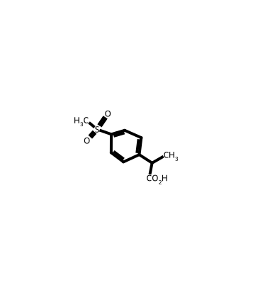 CC(C(=O)O)c1ccc(S(C)(=O)=O)cc1